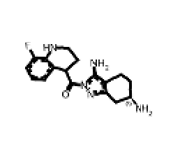 Nc1c2c(nn1C(=O)C1CCNc3c(F)cccc31)C[C@H](N)CC2